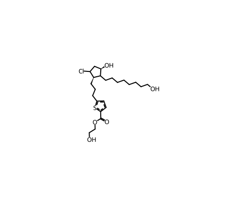 O=C(OCCO)c1ccc(CCC[C@H]2C(Cl)C[C@@H](O)C2CCCCCCCCO)s1